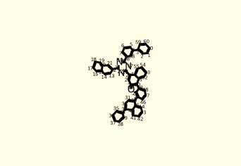 c1ccc(-c2cccc(-c3nc(-c4ccc5ccccc5c4)nc(-c4cc5oc6c(-c7ccc(-c8ccccc8)c8ccccc78)cccc6c5c5ccccc45)n3)c2)cc1